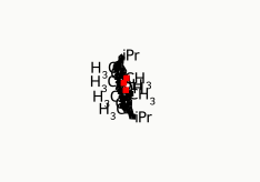 Cc1c(O)c(Cc2c(C)c3c(c(C)c2O)CCC(C)(CCCC(C)C)O3)c(C)c2c1CCC(C)(CCCC(C)C)O2